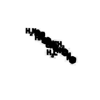 Cc1cc(N=Nc2ccc3cc(NC(=O)c4ccc(N)cc4)ccc3c2O)c(C)cc1N=Nc1ccc(N=Nc2ccccc2)cc1